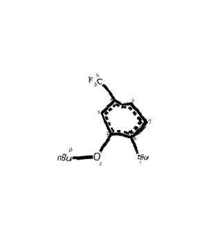 CCCCOc1cc(C(F)(F)F)ccc1C(C)(C)C